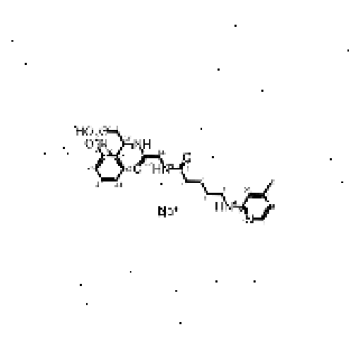 Cc1ccnc(NCCCCC(=O)NCC(=O)NC(CC(=O)O)c2ccccc2[N+](=O)[O-])c1.[Na+]